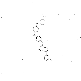 COc1ccc(-c2cnc3c(Nc4ccc(C(=O)N5CCC(C(=O)N6CCN[C@@H](C(=O)O)C6)CC5)c(C)c4)nccn23)cc1F